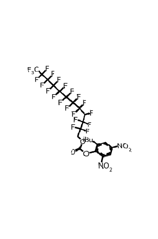 CCC(C)c1cc([N+](=O)[O-])cc([N+](=O)[O-])c1OC(=O)OCC(F)(F)C(F)(F)C(F)C(F)(F)C(F)(F)C(F)(F)C(F)(F)C(F)(F)C(F)(F)C(F)(F)C(F)(F)F